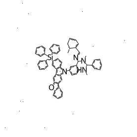 CNC(c1ccccc1)N(C)C(/N=C/C1=CC=CCC1C)c1cccc(-n2c3ccc([Si](c4ccccc4)(c4ccccc4)c4ccccc4)cc3c3cc4oc5ccccc5c4cc32)c1